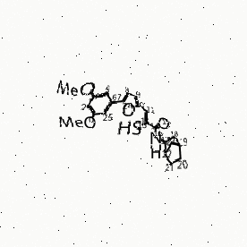 COc1cc(OC)cc(-c2ccc(/C=C(\S)C(=O)NC3CC4CCC3C4)o2)c1